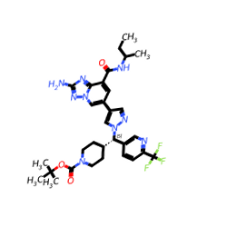 CCC(C)NC(=O)c1cc(-c2cnn([C@H](c3ccc(C(F)(F)F)nc3)C3CCN(C(=O)OC(C)(C)C)CC3)c2)cn2nc(N)nc12